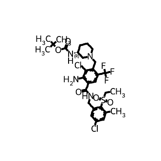 CCS(=O)(=O)c1c(C)cc(Cl)cc1CNC(=O)c1cc(C(F)(F)F)c(CN2CCC[C@@H](NC(=O)OC(C)(C)C)C2)c(Cl)c1N